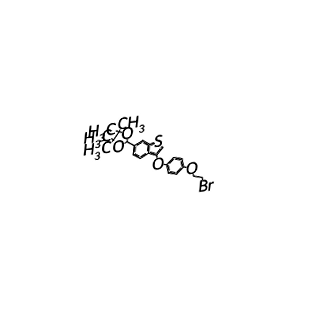 CC1(C)OC(c2ccc3c(Oc4ccc(OCCBr)cc4)csc3c2)OC1(C)C